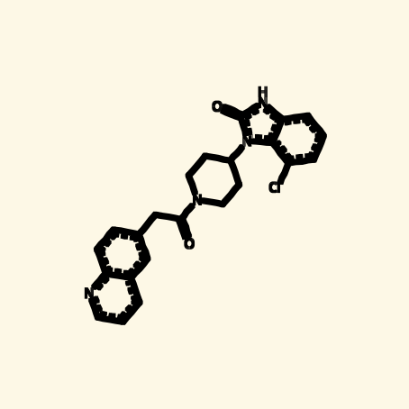 O=C(Cc1ccc2ncccc2c1)N1CCC(n2c(=O)[nH]c3cccc(Cl)c32)CC1